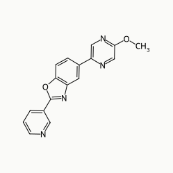 COc1cnc(-c2ccc3oc(-c4cccnc4)nc3c2)cn1